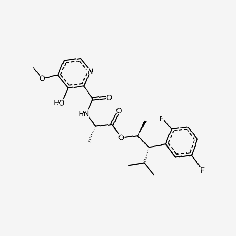 COc1ccnc(C(=O)N[C@@H](C)C(=O)O[C@@H](C)[C@H](c2cc(F)ccc2F)C(C)C)c1O